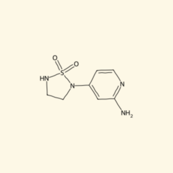 Nc1cc(N2CCNS2(=O)=O)ccn1